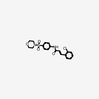 O=C(/C=C/c1ccccc1Cl)Nc1ccc(S(=O)(=O)N2CCOCC2)cc1